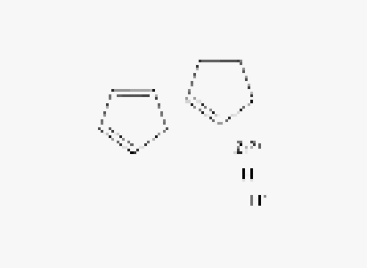 C1=CCC=C1.C1=CCC=C1.[H-].[H-].[Zr+2]